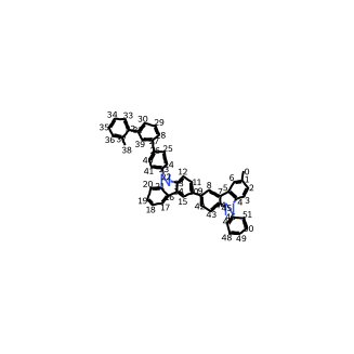 Cc1ccc2c(c1)c1cc(-c3ccc4c(c3)c3ccccc3n4-c3ccc(-c4cccc(-c5ccccc5C)c4)cc3)ccc1n2-c1ccccc1